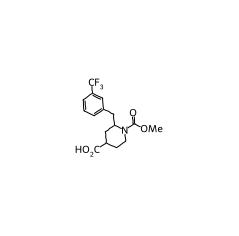 COC(=O)N1CCC(C(=O)O)CC1Cc1cccc(C(F)(F)F)c1